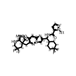 CCn1nccc1C(=O)NC(c1cn2nc(CC3(C(=O)OC)CC(F)(F)CNC3=O)c(OC)cc2n1)C1CCC(F)(F)CC1